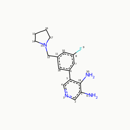 Nc1cncc(-c2cc(F)cc(CN3CCCC3)c2)c1N